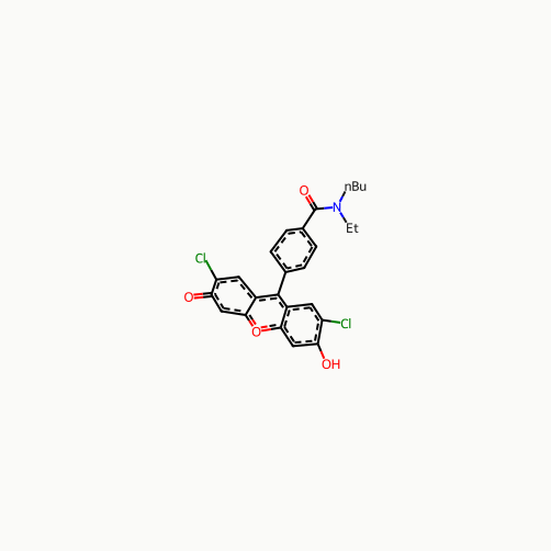 CCCCN(CC)C(=O)c1ccc(-c2c3cc(Cl)c(=O)cc-3oc3cc(O)c(Cl)cc23)cc1